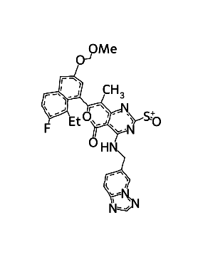 CCc1c(F)ccc2cc(OCOC)cc(-c3oc(=O)c4c(NCc5ccc6ncnn6c5)nc([S+]=O)nc4c3C)c12